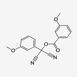 COc1cccc(C(=O)OC(C#N)(C#N)c2cccc(OC)c2)c1